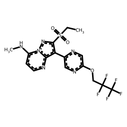 CCS(=O)(=O)c1nn2c(NC)ccnc2c1-c1cnc(OCC(F)(F)C(F)(F)F)cn1